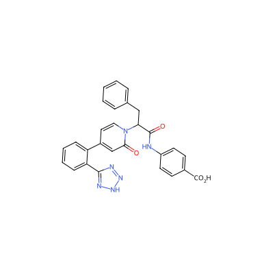 O=C(O)c1ccc(NC(=O)C(Cc2ccccc2)n2ccc(-c3ccccc3-c3nn[nH]n3)cc2=O)cc1